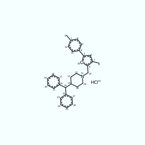 Cc1ccc(-c2cc(C)c(CN3CCC(C(c4ccccc4)c4ccccc4)CC3)o2)cc1.Cl